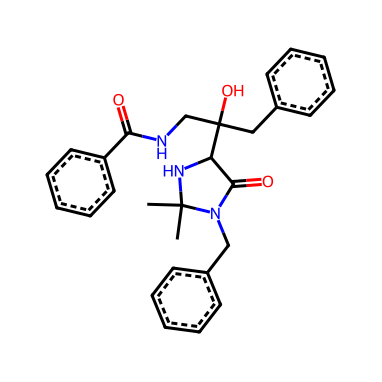 CC1(C)NC(C(O)(CNC(=O)c2ccccc2)Cc2ccccc2)C(=O)N1Cc1ccccc1